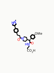 COc1ccc([C@@H](C(=O)NCCC(=O)O)C2CCN(C(=O)CCc3ccc(-c4cnn(C)c4)cc3)CC2)cc1